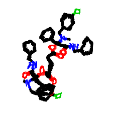 CN(Cc1ccc(Cl)cc1)C(OC(=O)/C=C/C(=O)OC(C(=O)NCc1ccccc1)(c1ccccc1)N(C)Cc1ccc(Cl)cc1)(C(=O)NCc1ccccc1)c1ccccc1